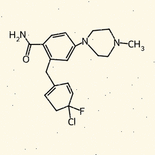 CN1CCN(c2ccc(C(N)=O)c(CC3=CCC(F)(Cl)C=C3)c2)CC1